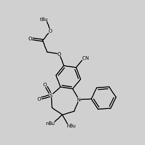 CCCCC1(CCCC)CN(c2ccccc2)c2cc(C#N)c(OCC(=O)OC(C)(C)C)cc2S(=O)(=O)C1